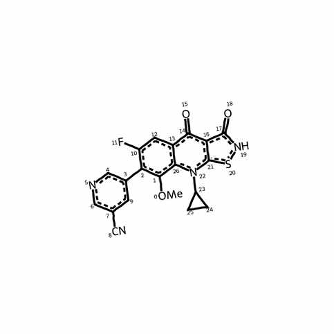 COc1c(-c2cncc(C#N)c2)c(F)cc2c(=O)c3c(=O)[nH]sc3n(C3CC3)c12